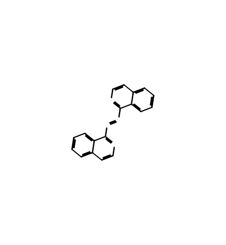 c1ccc2c(N=Nc3nccc4ccccc34)nccc2c1